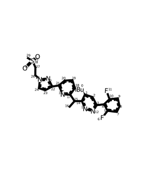 CC[C@H](C)c1cc(-c2c(F)cccc2F)nnc1C(C)c1cccc(-c2ccn(CCS(C)(=O)=O)n2)n1